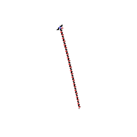 CCCN(CCC)C(=O)CCOCCOCCOCCOCCOCCOCCOCCOCCOCCOCCOCCOCCOCCOCCOCCOCCOCCOCCOCCOCCOCCOCCOCCOC